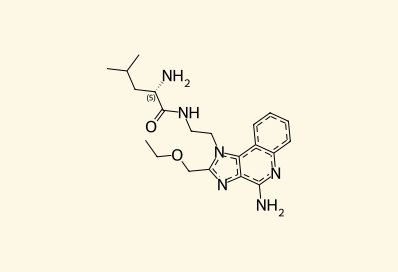 CCOCc1nc2c(N)nc3ccccc3c2n1CCNC(=O)[C@@H](N)CC(C)C